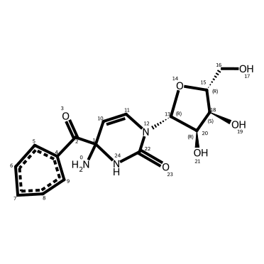 NC1(C(=O)c2ccccc2)C=CN([C@@H]2O[C@H](CO)[C@@H](O)[C@H]2O)C(=O)N1